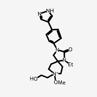 CCN1C(=O)N(c2ccc(-c3cn[nH]c3)cc2)CC12CC[N+](CCO)(OC)CC2